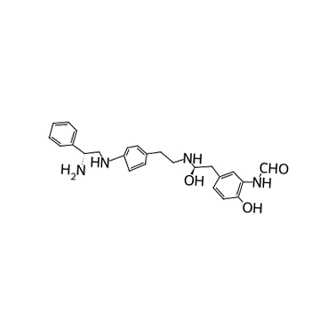 N[C@@H](CNc1ccc(CCN[C@H](O)Cc2ccc(O)c(NC=O)c2)cc1)c1ccccc1